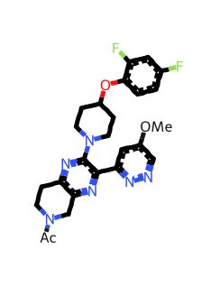 COc1cnnc(-c2nc3c(nc2N2CCC(Oc4ccc(F)cc4F)CC2)CCN(C(C)=O)C3)c1